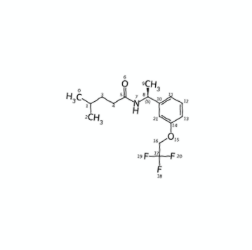 CC(C)CCC(=O)N[C@@H](C)c1cccc(OCC(F)(F)F)c1